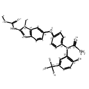 COC(=O)Nc1nc2ccc(Oc3ccc(N(C(N)=O)c4cc(C(F)(F)F)ccc4F)cc3)cc2n1C